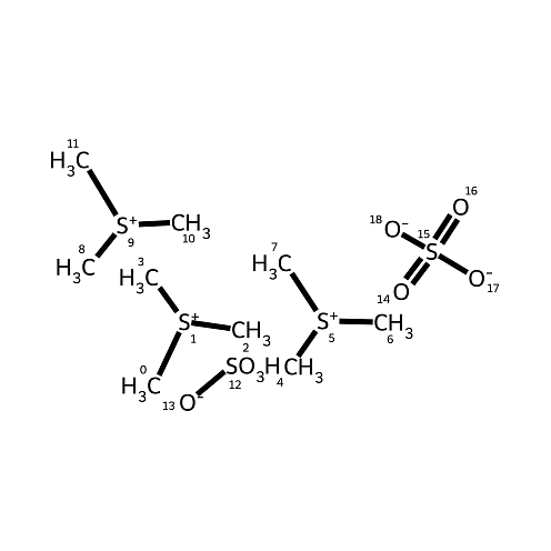 C[S+](C)C.C[S+](C)C.C[S+](C)C.O=S(=O)([O-])O.O=S(=O)([O-])[O-]